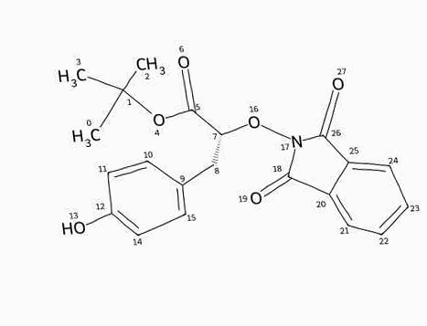 CC(C)(C)OC(=O)[C@@H](Cc1ccc(O)cc1)ON1C(=O)c2ccccc2C1=O